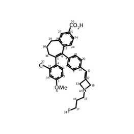 COc1ccc(C2=C(c3ccc(C=C4CN(CCCF)C4)cc3)c3ccc(C(=O)O)cc3CCC2)c(Cl)c1